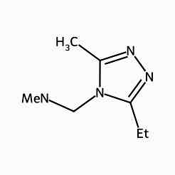 CCc1nnc(C)n1CNC